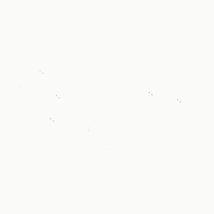 C=C(c1ccc(-c2c(F)c(Cl)cc(C(C)c3nc(Cl)c4c(N)nccn34)c2OC(C)C)cn1)N(C)C